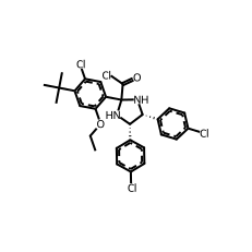 CCOc1cc(C(C)(C)C)c(Cl)cc1C1(C(=O)Cl)N[C@H](c2ccc(Cl)cc2)[C@H](c2ccc(Cl)cc2)N1